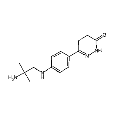 CC(C)(N)CNc1ccc(C2=NNC(=O)CC2)cc1